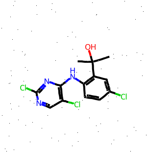 CC(C)(O)c1cc(Cl)ccc1Nc1nc(Cl)ncc1Cl